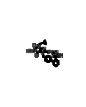 CCCn1c(=O)c2c(nc(C(C)C)n2Cc2ccc(-c3ccccc3-c3nnn[nH]3)cc2)n(CC2CC2)c1=O